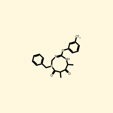 CC1N/C(Oc2cccc(C(F)(F)F)c2)=N\CN(Cc2ccccc2)C(=O)C(C)C1=O